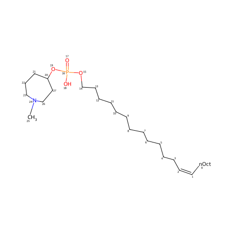 CCCCCCCC/C=C\CCCCCCCCCCCCOP(=O)(O)OC1CCCN(C)CC1